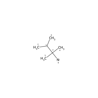 CC(C)C(C)(C)[N]